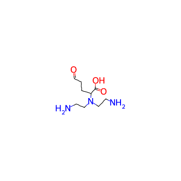 NCCN(CCN)C(CCC=O)C(=O)O